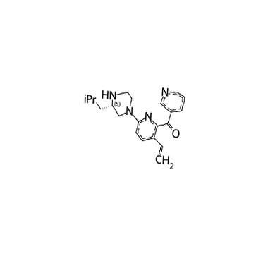 C=Cc1ccc(N2CCN[C@@H](CC(C)C)C2)nc1C(=O)c1cccnc1